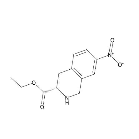 CCOC(=O)[C@@H]1Cc2ccc([N+](=O)[O-])cc2CN1